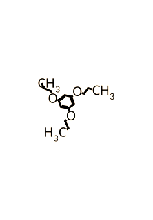 CCCOc1cc(OCCC)cc(OCCC)c1